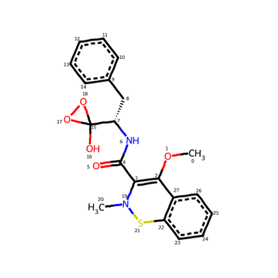 COC1=C(C(=O)N[C@@H](Cc2ccccc2)C2(O)OO2)N(C)Sc2ccccc21